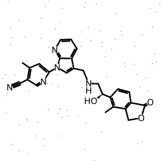 Cc1cc(-n2cc(CNC[C@H](O)c3ccc4c(c3C)COC4=O)c3cccnc32)ncc1C#N